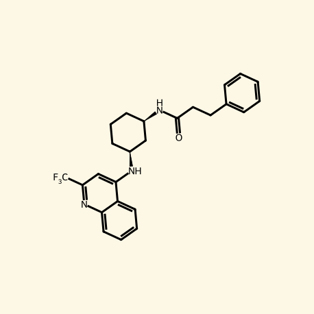 O=C(CCc1ccccc1)N[C@@H]1CCC[C@H](Nc2cc(C(F)(F)F)nc3ccccc23)C1